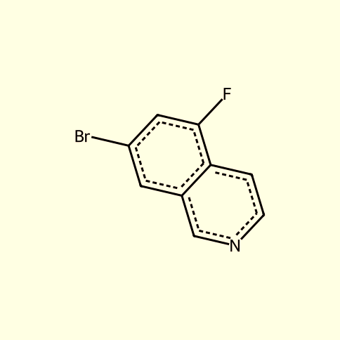 Fc1cc(Br)cc2cnccc12